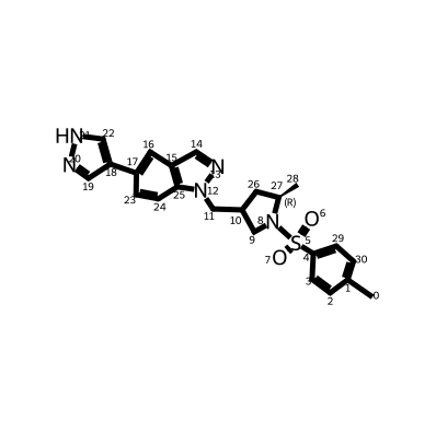 Cc1ccc(S(=O)(=O)N2CC(Cn3ncc4cc(-c5cn[nH]c5)ccc43)C[C@H]2C)cc1